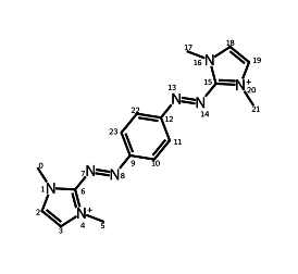 Cn1cc[n+](C)c1N=Nc1ccc(N=Nc2n(C)cc[n+]2C)cc1